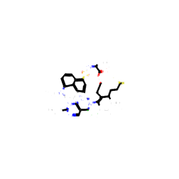 CC(=C(CCOC(=O)C(C)NS(=O)(=O)c1cccc2c(N(C)C)cccc12)C(C)CCC(S)S)N(C=O)Cc1cnc(C)nc1N.Cl